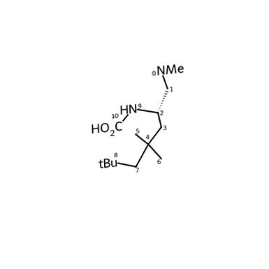 CNC[C@H](CC(C)(C)CC(C)(C)C)NC(=O)O